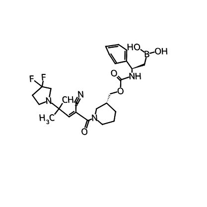 CC(C)(C=C(C#N)C(=O)N1CCC[C@@H](COC(=O)N[C@H](CB(O)O)c2ccccc2)C1)N1CCC(F)(F)C1